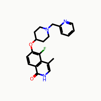 Cc1c[nH]c(=O)c2ccc(OC3CCN(Cc4ccccn4)CC3)c(F)c12